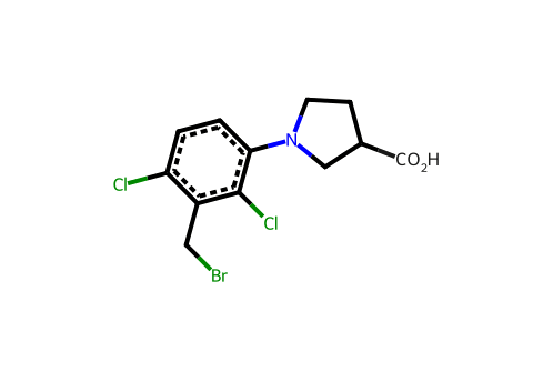 O=C(O)C1CCN(c2ccc(Cl)c(CBr)c2Cl)C1